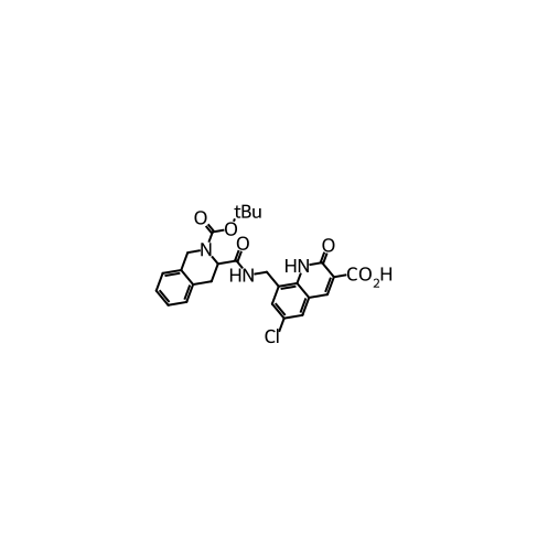 CC(C)(C)OC(=O)N1Cc2ccccc2CC1C(=O)NCc1cc(Cl)cc2cc(C(=O)O)c(=O)[nH]c12